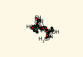 C=CC(=O)N1CCN(c2cc(C(=O)Nc3cc(O)cc4ccccc34)nc(NCC3CCCN(C)C3)n2)C[C@@H]1CC#N.COc1cc(NC(=O)c2cc(N3CCN(C(=O)O)[C@](CC#N)(Cc4ccccc4)C3C(=O)OCc3ccccc3)nc(NCC3CCCN(C)C3)n2)c2ccccc2c1